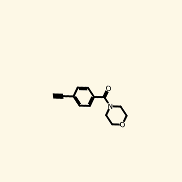 C#Cc1ccc(C(=O)N2CCOCC2)cc1